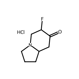 Cl.O=C1CC2CCCN2CC1F